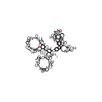 CC[C@]1(O)C[C@@H]2C[N@@](CCc3c([nH]c4ccccc34)[C@@](C(=O)OC)(c3cc4c(cc3OC)N(C)[C@H]3[C@@](O)(C(=O)OC)[C@H](OC(C)=O)[C@]5(CC)C=CCN6CC[C@]43[C@@H]65)C2)C1.Cc1c2oc3c(C)ccc(C(=O)N[C@@H]4C(=O)N[C@H](C(C)C)C(=O)N5CCC[C@H]5C(=O)N(C)CC(=O)N(C)[C@@H](C(C)C)C(=O)O[C@@H]4C)c3nc-2c(C(=O)N[C@@H]2C(=O)N[C@H](C(C)C)C(=O)N3CCC[C@H]3C(=O)N(C)CC(=O)N(C)[C@@H](C(C)C)C(=O)O[C@@H]2C)c(N)c1=O